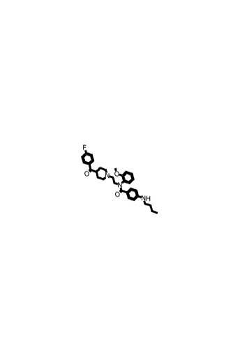 CCCCNc1ccc(C(=O)N(CCN2CCC(C(=O)c3ccc(F)cc3)CC2)c2ccccc2OC)cc1